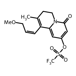 COC/C=C\C1=C(C)CCn2c1cc(OS(=O)(=O)C(F)(F)F)cc2=O